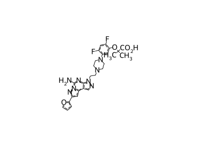 CC(C)(Oc1cc(N2CCN(CCn3ncc4c3nc(N)n3nc(-c5ccco5)cc43)CC2)c(F)cc1F)C(=O)O